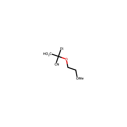 CCC(C#N)(OCCOC)C(=O)O